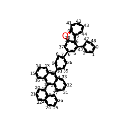 c1ccc(-c2cc(-c3ccc(-c4c5ccccc5c(-c5cccc6ccccc56)c5ccccc45)cc3)cc3oc4ccccc4c23)cc1